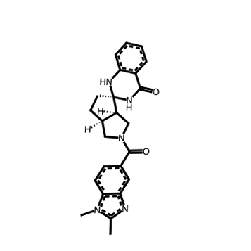 Cc1nc2cc(C(=O)N3C[C@H]4CC[C@]5(NC(=O)c6ccccc6N5)[C@H]4C3)ccc2n1C